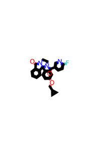 O=C(c1ccc(F)nc1)N1CCN2C(=O)c3ccccc3C12c1ccc(OCC2CC2)cc1